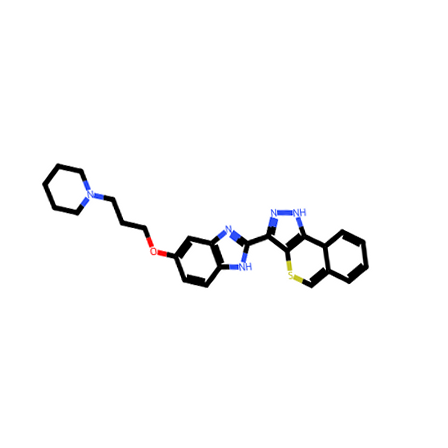 C1=CC2=CSc3c(-c4nc5cc(OCCCN6CCCCC6)ccc5[nH]4)n[nH]c3C2C=C1